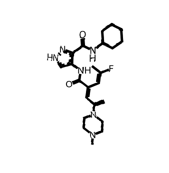 C=C(/C=C(\C=C(/C)F)C(=O)Nc1c[nH]nc1C(=O)NC1CCCCC1)N1CCN(C)CC1